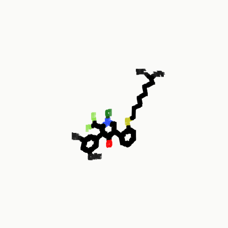 CCCC(C#N)CCCCCCCSc1ccccc1-c1cn(Cl)c(C(F)F)c(-c2cc(CC)cc(OC(C)=O)c2)c1=O